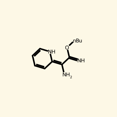 CCCCOC(=N)/C(N)=C1/C=CC=CN1